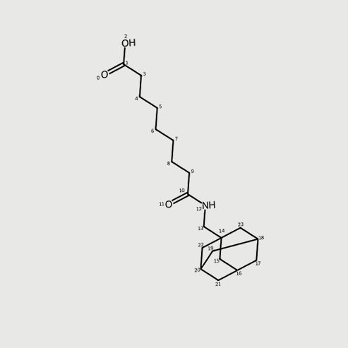 O=C(O)CCCCCCCC(=O)NCC12CC3CC(CC(C3)C1)C2